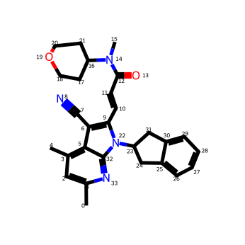 Cc1cc(C)c2c(C#N)c(/C=C/C(=O)N(C)C3CCOCC3)n(C3Cc4ccccc4C3)c2n1